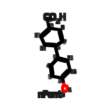 CCCCCOc1ccc(-c2ccc(C(=O)O)cc2)cc1